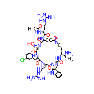 C=C(N)C1CCCNC(=O)CC[C@H](NC(=O)[C@H](CCCNC(=N)N)NC(C)=O)C(=O)N[C@@H](CO)C(=O)N[C@H](Cc2cccc(Cl)c2)C(=O)N[C@@H](CCCNC(=N)N)C(=O)N[C@@H](Cc2c[nH]c3ccccc23)C(=O)N1